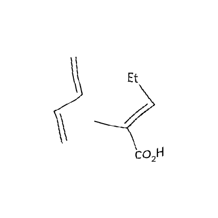 C=CC=C.CCC=C(C)C(=O)O